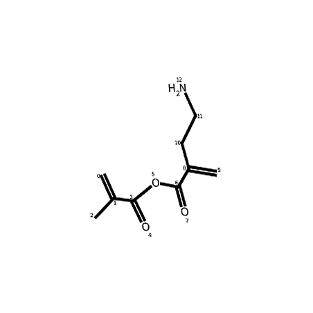 C=C(C)C(=O)OC(=O)C(=C)CCN